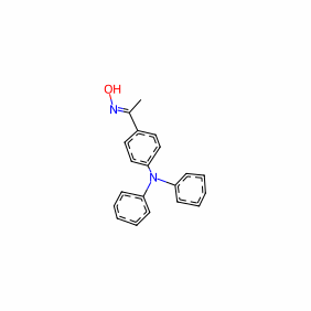 CC(=NO)c1ccc(N(c2ccccc2)c2ccccc2)cc1